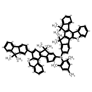 Cc1cc(C)c(N(c2ccc3c(c2)C(C)(C)c2cc(-c4ccc5c(c4)C(C)(C)c4ccccc4-5)c4c(c2-3)-c2ccccc2CO4)c2ccc3c(c2)C(C)(C)c2c4c(c5c(oc6ccccc65)c2-3)-c2ccccc2C4(C)C)c(C)c1